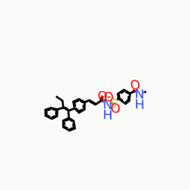 CCC(=C(c1ccccc1)c1ccc(C=CC(=O)NS(=O)(=O)c2ccc(C(=O)NC)cc2)cc1)c1ccccc1